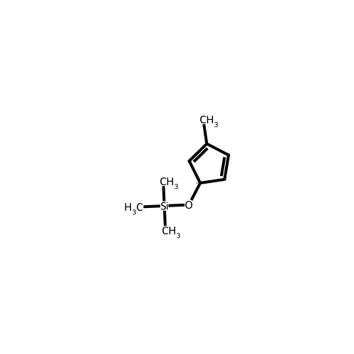 CC1=C[C](O[Si](C)(C)C)C=C1